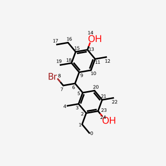 CCc1c(C)c(C(CBr)c2cc(C)c(O)c(CC)c2C)cc(C)c1O